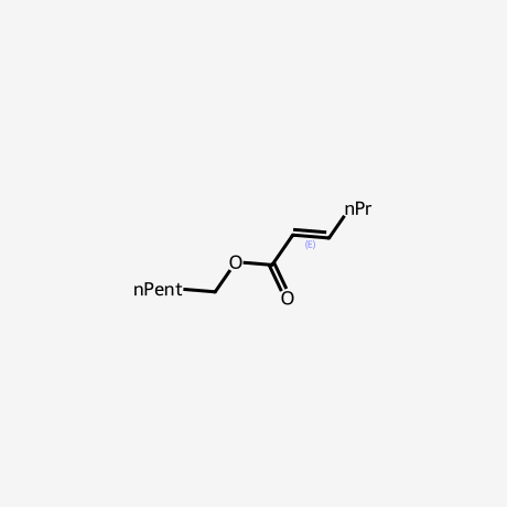 CCC/C=C/C(=O)OCCCCCC